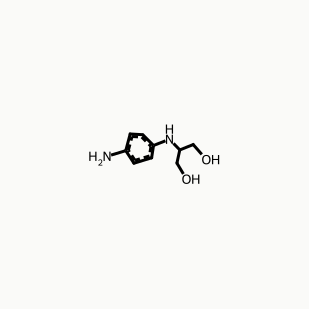 Nc1ccc(NC(CO)CO)cc1